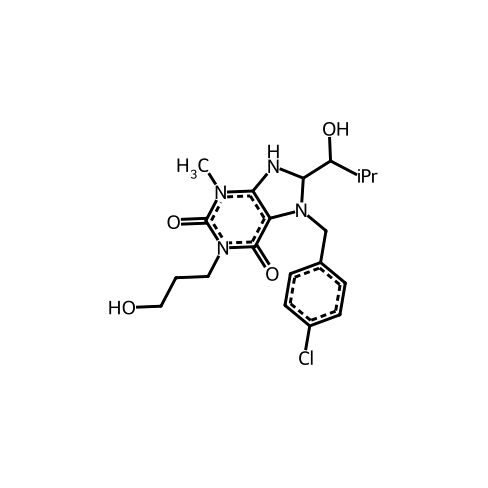 CC(C)C(O)C1Nc2c(c(=O)n(CCCO)c(=O)n2C)N1Cc1ccc(Cl)cc1